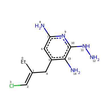 CC/C(=C\Cl)Cc1cc(N)nc(NN)c1N